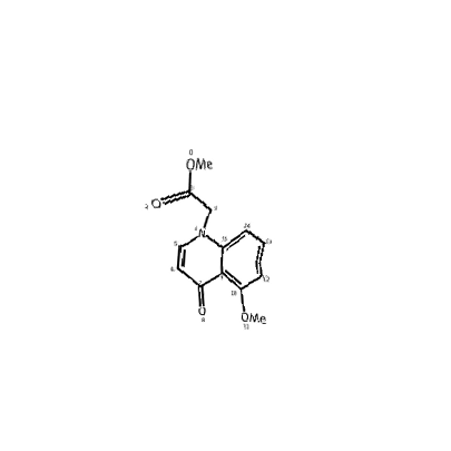 COC(=O)Cn1ccc(=O)c2c(OC)cccc21